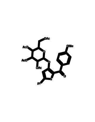 COc1ccc(C(=O)c2sc(C(C)C)cc2OC2OC(COC(C)=O)C(OC(C)=O)C(OC(C)=O)C2OC(C)=O)cc1